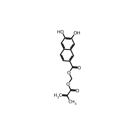 C=C(C)C(=O)OCOC(=O)c1ccc2cc(O)c(O)cc2c1